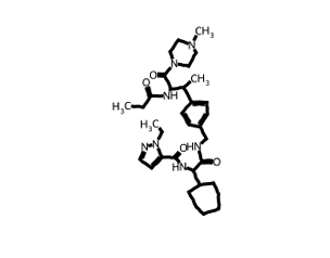 CCC(=O)N[C@@H](C(=O)N1CCN(C)CC1)C(C)c1ccc(CNC(=O)C(NC(=O)c2ccnn2CC)C2CCCCCC2)cc1